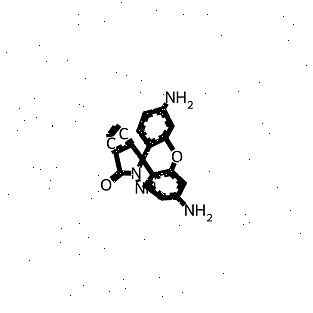 Nc1ccc2c(c1)Oc1cc(N)ccc1C21c2ccccc2C(=O)N1N